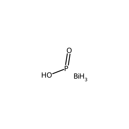 O=PO.[BiH3]